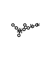 c1ccc(-c2ccc(-c3nc(-c4ccccc4)nc(-c4ccc5c6ccc(-c7ccc(-c8ccncc8)cn7)cc6c6ccccc6c5c4)n3)cc2)cc1